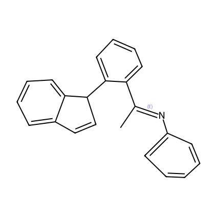 C/C(=N\c1ccccc1)c1ccccc1C1C=Cc2ccccc21